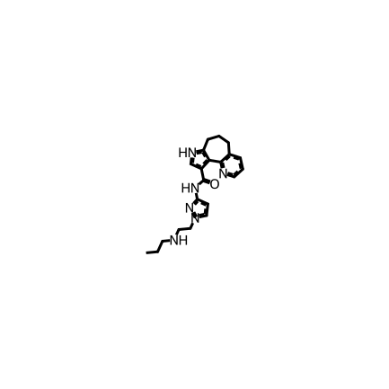 CCCNCCn1ccc(NC(=O)c2c[nH]c3c2-c2ncccc2CCC3)n1